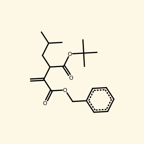 C=C(C(=O)OCc1ccccc1)C(CC(C)C)C(=O)OC(C)(C)C